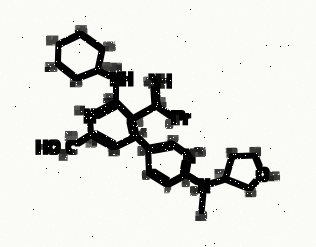 CC(C)C(=N)c1c(-c2ccc(N(C)C3CCOC3)nc2)cc(C(=O)O)nc1NC1CCCCC1